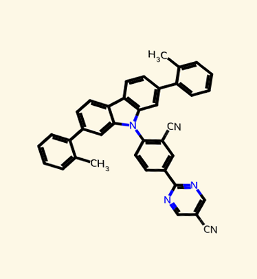 Cc1ccccc1-c1ccc2c3ccc(-c4ccccc4C)cc3n(-c3ccc(-c4ncc(C#N)cn4)cc3C#N)c2c1